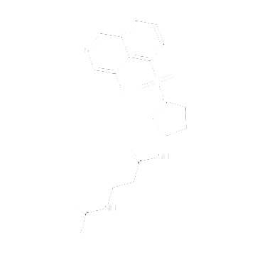 CC(=O)NCCC(=O)N[C@H]1CCN(S(=O)(=O)c2cccc3cncc(C)c23)C1